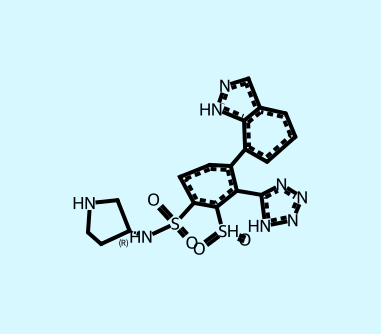 O=[SH](=O)c1c(S(=O)(=O)N[C@@H]2CCNC2)ccc(-c2cccc3cn[nH]c23)c1-c1nnn[nH]1